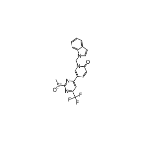 C[S+]([O-])c1nc(-c2ccc(=O)n(Cn3ccc4ccccc43)c2)cc(C(F)(F)F)n1